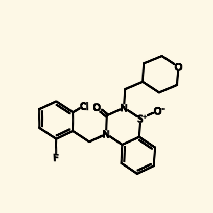 O=C1N(Cc2c(F)cccc2Cl)c2ccccc2[S+]([O-])N1CC1CCOCC1